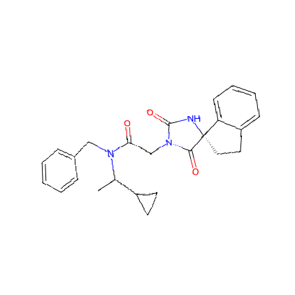 CC(C1CC1)N(Cc1ccccc1)C(=O)CN1C(=O)N[C@]2(CCc3ccccc32)C1=O